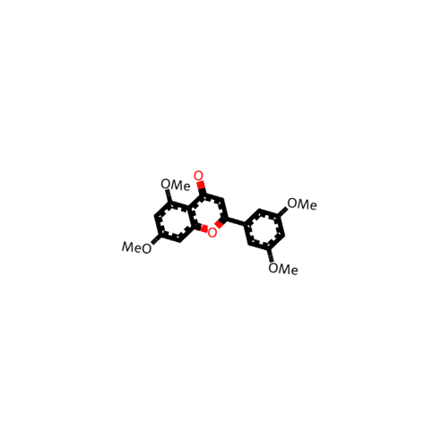 COc1cc(OC)cc(-c2cc(=O)c3c(OC)cc(OC)cc3o2)c1